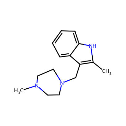 Cc1[nH]c2ccccc2c1CN1CCN(C)CC1